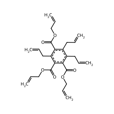 C=CCOC(=O)c1c(CC=C)c(CC=C)c(C(=O)OCC=C)c(C(=O)OCC=C)c1CC=C